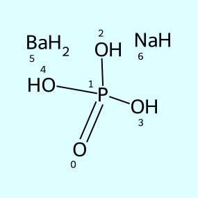 O=P(O)(O)O.[BaH2].[NaH]